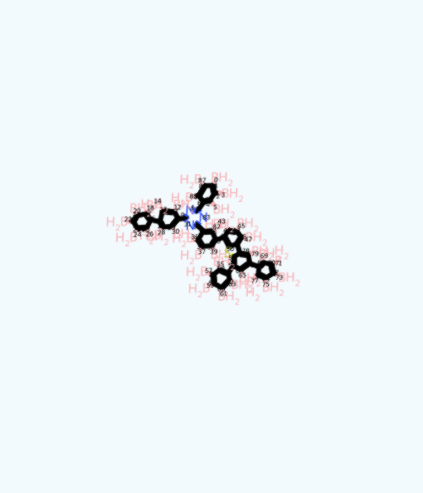 Bc1c(B)c(B)c(-c2nc(-c3c(B)c(B)c(-c4c(B)c(B)c(B)c(B)c4B)c(B)c3B)nc(-c3c(B)c(B)c(B)c(-c4c(B)c(B)c(B)c5c4sc4c(-c6c(B)c(B)c(B)c(B)c6B)c(B)c(-c6c(B)c(B)c(B)c(B)c6B)c(B)c45)c3B)n2)c(B)c1B